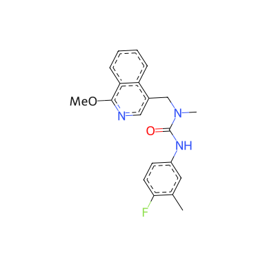 COc1ncc(CN(C)C(=O)Nc2ccc(F)c(C)c2)c2ccccc12